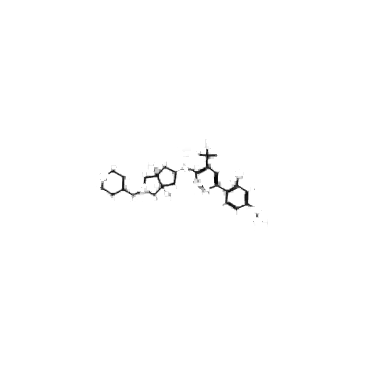 COc1ccc(-c2cc(C(F)(F)F)c(N[C@H]3C[C@@H]4CN(CC5CCOCC5)C[C@@H]4C3)nn2)c(C)c1